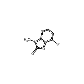 Cn1c(=O)oc2c(Br)ccnc21